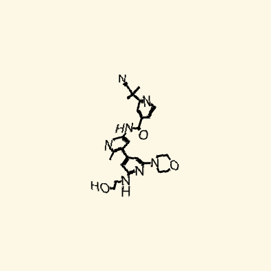 Cc1ncc(NC(=O)c2ccnc(C(C)(C)C#N)c2)cc1-c1cc(NCCO)nc(N2CCOCC2)c1